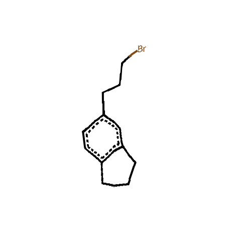 BrCCCc1ccc2c(c1)CCC2